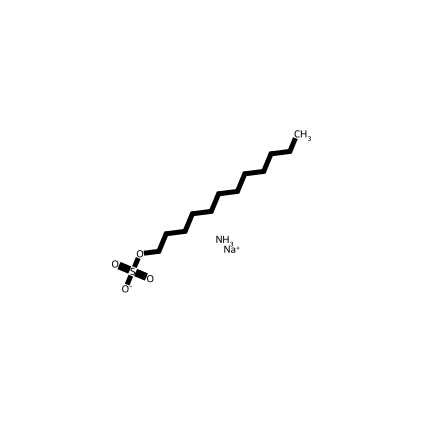 CCCCCCCCCCCCOS(=O)(=O)[O-].N.[Na+]